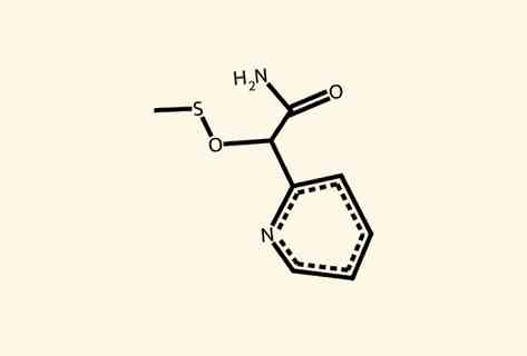 CSOC(C(N)=O)c1ccccn1